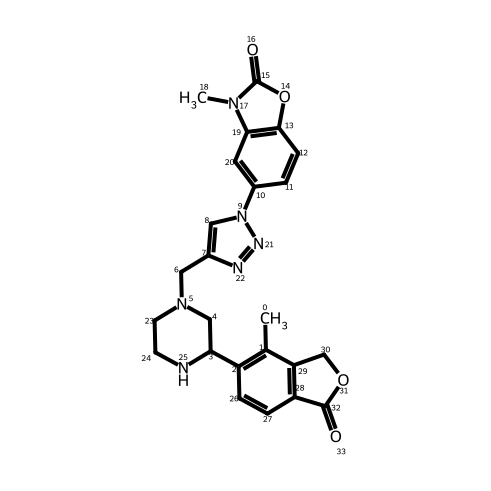 Cc1c(C2CN(Cc3cn(-c4ccc5oc(=O)n(C)c5c4)nn3)CCN2)ccc2c1COC2=O